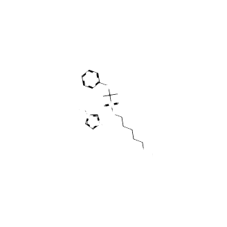 CCCCCCOS(=O)(=O)C(F)(F)Sc1ccccc1.Cn1ccnc1